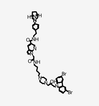 O=C(Cn1ccc2cc(C(=O)NCCc3ccc(N4C[C@H]5CC[C@@H](C4)N5)cc3)cnc21)NCCCCCN1CCN(C[C@@H](O)Cn2c3ccc(Br)cc3c3cc(Br)ccc32)CC1